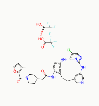 Cc1ccoc1C(=O)N1CCC(CC(=O)Nc2ccc3cc2CCc2cncc(c2)Nc2ncc(Cl)c(n2)N3)CC1.O=C(O)C(F)(F)F.O=C(O)C(F)(F)F